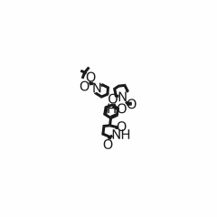 CC(C)(C)OC(=O)N1CCC(Oc2ccc(C3CCC(=O)NC3=O)cc2)CC1.O=C(O)N1CCCCC1